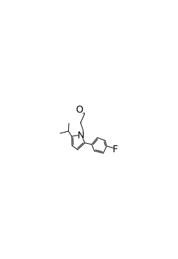 CC(C)c1ccc(-c2ccc(F)cc2)n1CCC=O